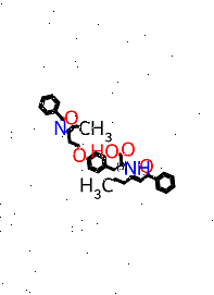 CCCC(=CC(=O)c1ccccc1)N[C@@H](Cc1ccc(OCCc2nc(-c3ccccc3)oc2C)cc1)C(=O)O